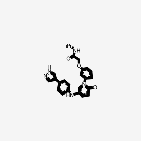 CC(C)NC(=O)COc1cccc(-n2cc(Nc3ccc(-c4cn[nH]c4)cc3)ccc2=O)c1